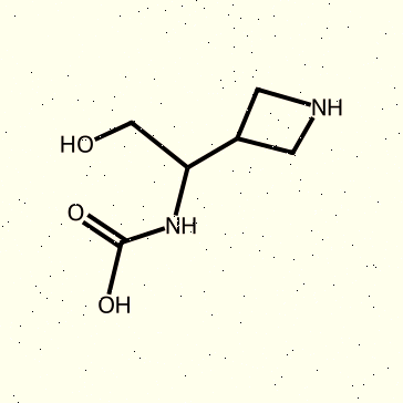 O=C(O)NC(CO)C1CNC1